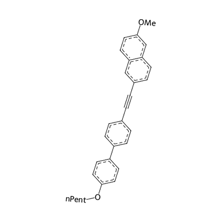 CCCCCOc1ccc(-c2ccc(C#Cc3ccc4cc(OC)ccc4c3)cc2)cc1